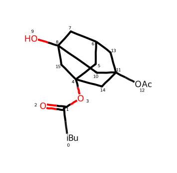 CCC(C)C(=O)OC12CC3CC(O)(CC(OC(C)=O)(C3)C1)C2